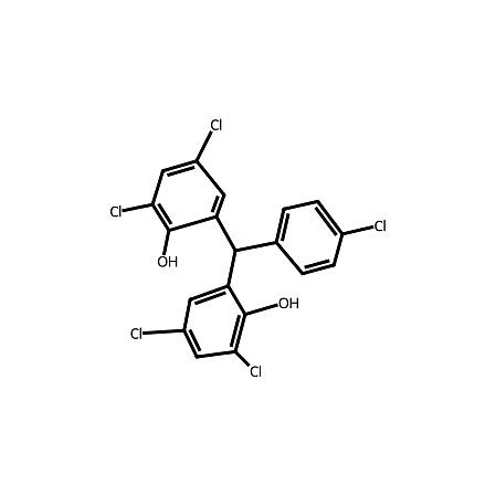 Oc1c(Cl)cc(Cl)cc1C(c1ccc(Cl)cc1)c1cc(Cl)cc(Cl)c1O